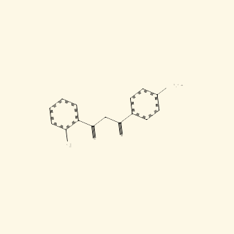 COc1ccc(C(=O)CC(=O)c2ccccc2N)cc1